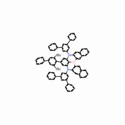 CC(C)(C)c1cc(-c2ccccc2)cc(C(C)(C)C)c1-c1cc2c3c(c1)N(c1cc(-c4ccccc4)cc(-c4ccccc4)c1)c1cc4ccccc4cc1B3c1cc3ccccc3cc1N2c1cc(-c2ccccc2)cc(-c2ccccc2)c1